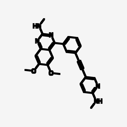 CNc1ccc(C#Cc2cccc(-c3nc(NC)nc4cc(OC)c(OC)cc34)c2)cn1